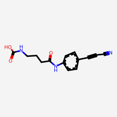 N#CC#Cc1ccc(NC(=O)CCCNC(=O)O)cc1